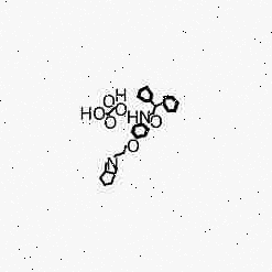 O=C(Nc1ccc(OCCCN2CC3CCCC3C2)cc1)C(c1ccccc1)c1ccccc1.O=C(O)C(=O)O